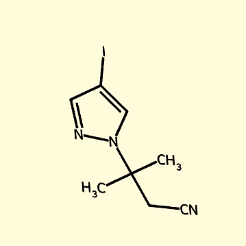 CC(C)(CC#N)n1cc(I)cn1